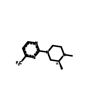 C[C@H]1CN(c2nccc(C(F)(F)F)n2)CCN1C